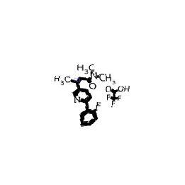 C/C(=C/C(=O)N(C)C)c1ccc(-c2ccccc2F)nc1.O=C(O)C(F)(F)F